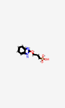 O=S(=O)(O)CCCOc1nc2ccccc2[nH]1